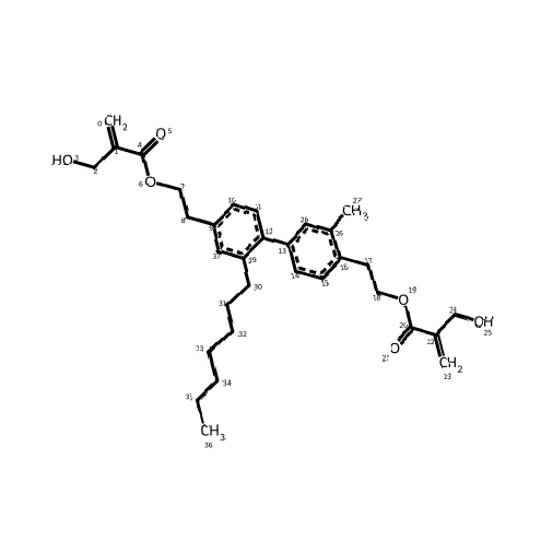 C=C(CO)C(=O)OCCc1ccc(-c2ccc(CCOC(=O)C(=C)CO)c(C)c2)c(CCCCCCC)c1